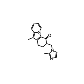 Cc1c2c(n3ccccc13)C(=O)C(Cn1ccnc1C)CC2